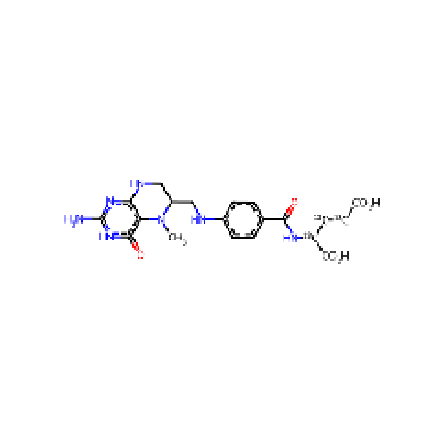 CN1c2c(nc(N)[nH]c2=O)NCC1CNc1ccc(C(=O)N[13C@@H]([13CH2][13CH2][13C](=O)O)[13C](=O)O)cc1